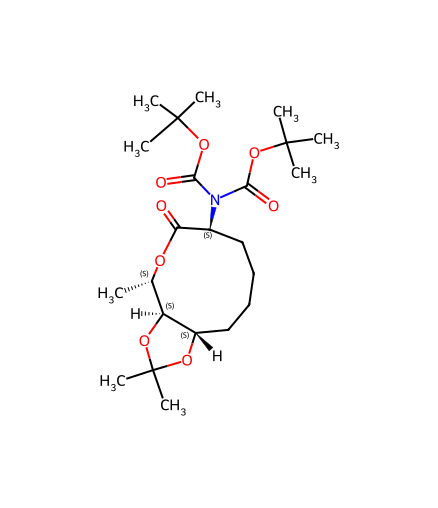 C[C@@H]1OC(=O)[C@@H](N(C(=O)OC(C)(C)C)C(=O)OC(C)(C)C)CCCC[C@@H]2OC(C)(C)O[C@@H]12